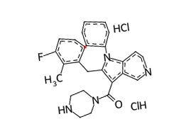 Cc1c(F)cccc1Cc1c(C(=O)N2CCNCC2)c2cnccc2n1-c1ccccc1.Cl.Cl